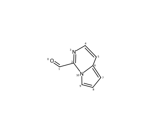 O=Cc1nccc2cccn12